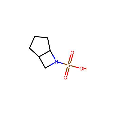 O=S(=O)(O)N1CC2CCCC21